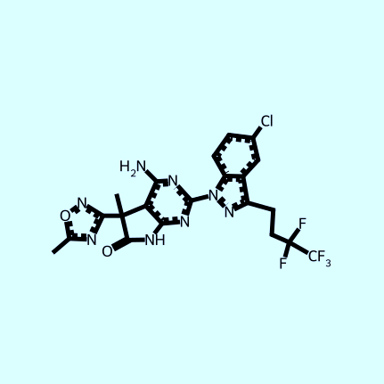 Cc1nc(C2(C)C(=O)Nc3nc(-n4nc(CCC(F)(F)C(F)(F)F)c5cc(Cl)ccc54)nc(N)c32)no1